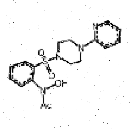 CC(=O)N(O)c1ccccc1S(=O)(=O)N1CCN(c2ccccn2)CC1